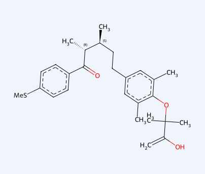 C=C(O)C(C)(C)Oc1c(C)cc(CC[C@H](C)[C@@H](C)C(=O)c2ccc(SC)cc2)cc1C